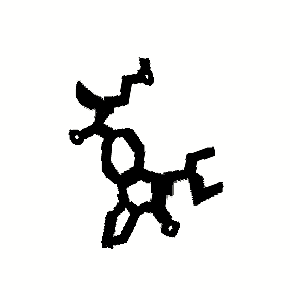 CCC(CC)n1c(=O)c2cncn2c2cc(C(=O)N(C)CCOC)ccc21